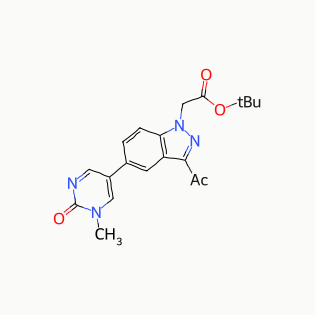 CC(=O)c1nn(CC(=O)OC(C)(C)C)c2ccc(-c3cnc(=O)n(C)c3)cc12